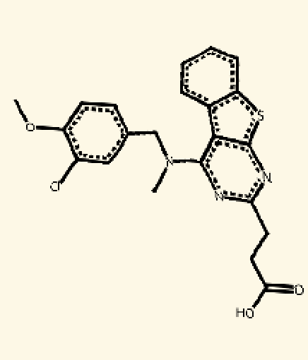 COc1ccc(CN(C)c2nc(CCC(=O)O)nc3sc4ccccc4c23)cc1Cl